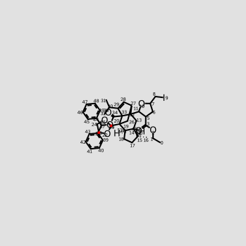 CCOC(=O)C1CC(CI)OC1C12C[C@@H]3[C@H](C)CC[C@H]3C3(C4OCCO4)CC1C=C(C(C)C)C23C(=O)OC(c1ccccc1)c1ccccc1